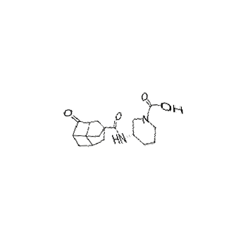 O=C1C2CC3CC1CC(C(=O)N[C@H]1CCCN(C(=O)O)C1)(C3)C2